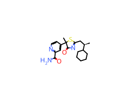 C[C@H](CC1=NC(=O)C(C)(c2ccnc(C(N)=O)c2)S1)C1CCCCC1